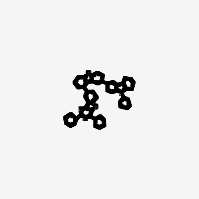 c1ccc(-c2nc(-c3ccccc3)c3oc4ccc(-c5cccc6oc7ccc(-c8ccc9c(c8)c8ccccc8n9-c8ccccc8)cc7c56)cc4c3n2)cc1